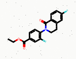 CCOC(=O)c1ccc(N2CCc3cc(F)ccc3C2=O)c(F)c1